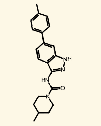 Cc1ccc(-c2ccc3c(NC(=O)N4CCC(C)CC4)n[nH]c3c2)cc1